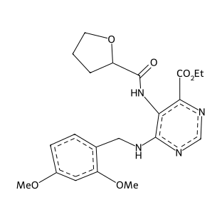 CCOC(=O)c1ncnc(NCc2ccc(OC)cc2OC)c1NC(=O)C1CCCO1